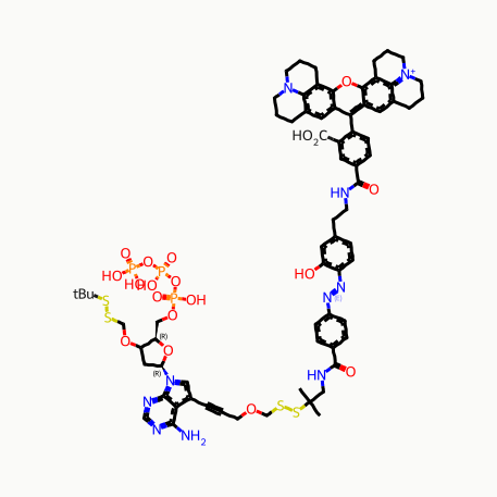 CC(C)(C)SSCOC1C[C@H](n2cc(C#CCOCSSC(C)(C)CNC(=O)c3ccc(/N=N/c4ccc(CCNC(=O)c5ccc(C6=c7cc8c9c(c7Oc7c6cc6c%10c7CCCN%10CCC6)CCC[N+]=9CCC8)c(C(=O)O)c5)cc4O)cc3)c3c(N)ncnc32)O[C@@H]1COP(=O)(O)OP(=O)(O)OP(=O)(O)O